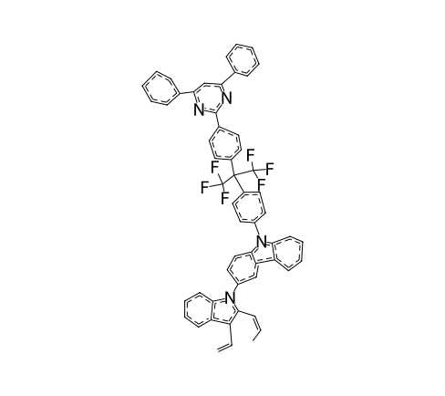 C=Cc1c(/C=C\C)n(-c2ccc3c(c2)c2ccccc2n3-c2ccc(C(c3ccc(-c4nc(-c5ccccc5)cc(-c5ccccc5)n4)cc3)(C(F)(F)F)C(F)(F)F)cc2)c2ccccc12